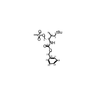 CC(CC(C)(C)C)[C@@H](COS(C)(=O)=O)NC(=O)OCc1ccccc1